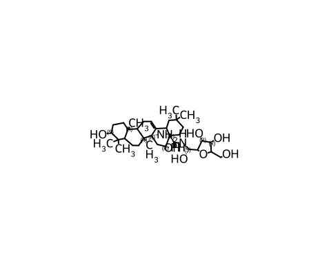 CC1(C)CC[C@@]2(C(=P)N[C@@H](O)C3OC(CO)[C@H](O)[C@H]3O)C(C1)C1=CCC3[C@@]4(C)CC[C@H](O)C(C)(C)C4CC[C@@]3(C)[C@]1(N)C[C@H]2O